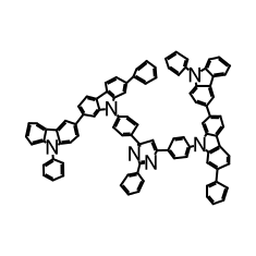 c1ccc(-c2ccc3c4ccc(-c5ccc6c(c5)c5ccccc5n6-c5ccccc5)cc4n(-c4ccc(-c5cc(-c6ccc(-n7c8cc(-c9ccccc9)ccc8c8ccc(-c9ccc%10c(c9)c9ccccc9n%10-c9ccccc9)cc87)cc6)nc(-c6ccccc6)n5)cc4)c3c2)cc1